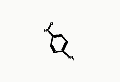 Nc1ccc(NCl)cc1